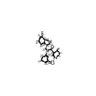 Cc1ccncc1C(=O)N(Cc1cncc2c(F)cccc12)c1cccc(Cl)c1